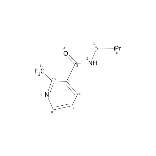 CC(C)SNC(=O)c1cccnc1C(F)(F)F